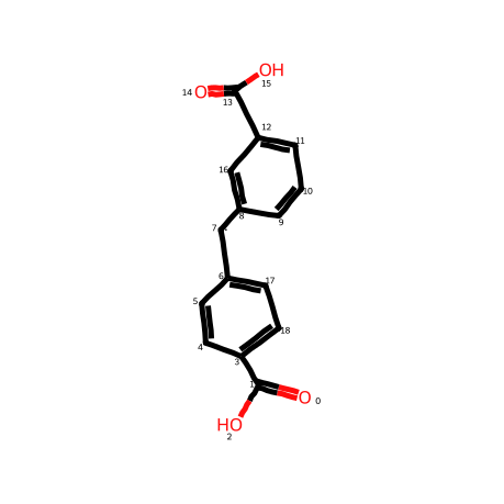 O=C(O)c1ccc([CH]c2cccc(C(=O)O)c2)cc1